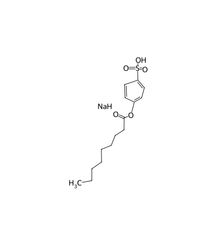 CCCCCCCCC(=O)Oc1ccc(S(=O)(=O)O)cc1.[NaH]